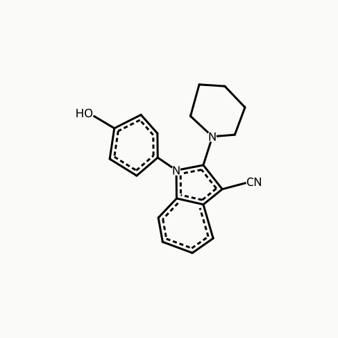 N#Cc1c(N2CCCCC2)n(-c2ccc(O)cc2)c2ccccc12